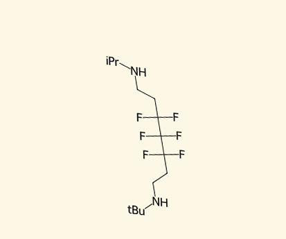 CC(C)NCCC(F)(F)C(F)(F)C(F)(F)CCNC(C)(C)C